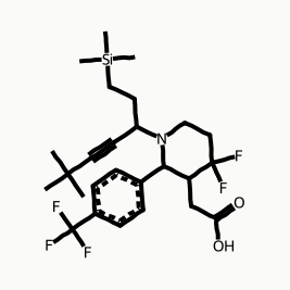 CC(C)(C)C#CC(CC[Si](C)(C)C)N1CCC(F)(F)C(CC(=O)O)C1c1ccc(C(F)(F)F)cc1